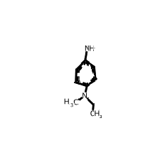 CCN(C)c1ccc([NH])cc1